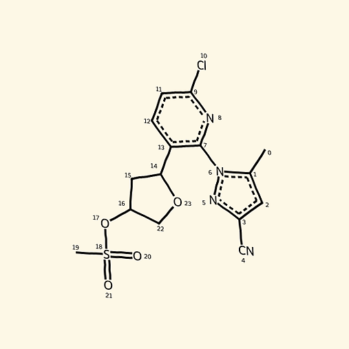 Cc1cc(C#N)nn1-c1nc(Cl)ccc1C1CC(OS(C)(=O)=O)CO1